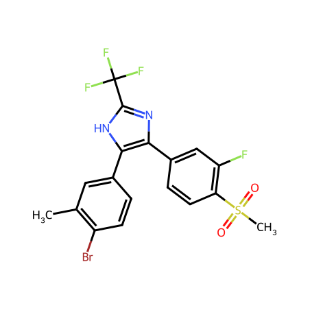 Cc1cc(-c2[nH]c(C(F)(F)F)nc2-c2ccc(S(C)(=O)=O)c(F)c2)ccc1Br